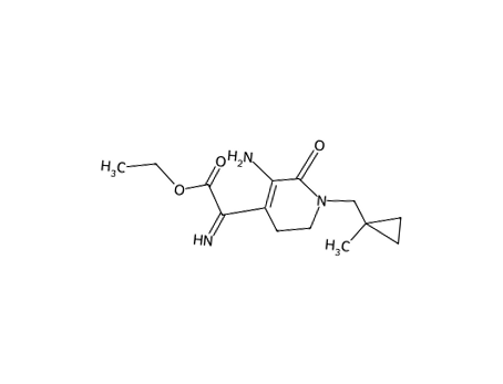 CCOC(=O)C(=N)C1=C(N)C(=O)N(CC2(C)CC2)CC1